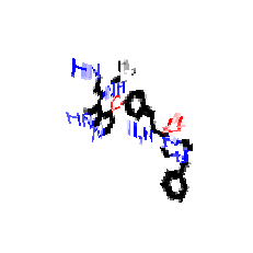 CCN/C(=C\C=N)c1c[nH]c2nccc(Oc3ccc(CC(N)C(=O)N4CCN(Cc5ccccc5)CC4)cc3)c12